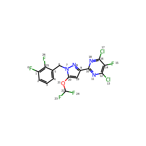 Fc1cccc(Cn2nc(-c3nc(Cl)c(F)c(Cl)n3)cc2OC(F)F)c1F